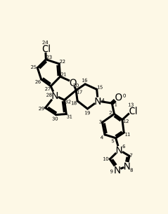 O=C(c1ccc(-n2cnnc2)cc1Cl)N1CCC2(CC1)Oc1cc(Cl)ccc1-n1cccc12